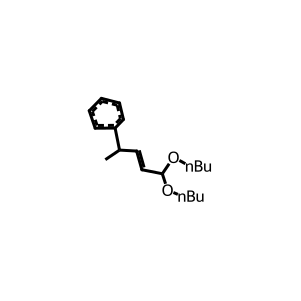 CCCCOC(C=CC(C)c1ccccc1)OCCCC